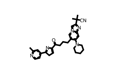 Cc1cc(C2=NC(C(=O)CCCc3cn4cc(C(C)(C)C#N)nc4cc3N3CCCCC3)=CC2)ccn1